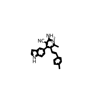 Cc1ccc(C=Cc2c(C)nc(N)c(C#N)c2-c2ccc3[nH]ccc3c2)cc1